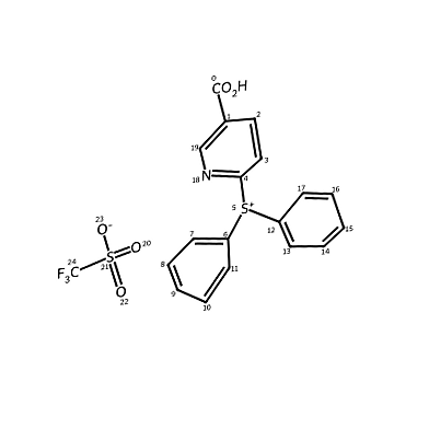 O=C(O)c1ccc([S+](c2ccccc2)c2ccccc2)nc1.O=S(=O)([O-])C(F)(F)F